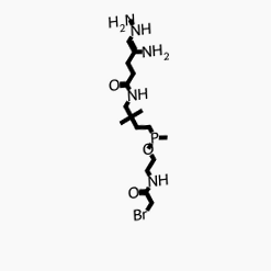 CP(CCC(C)(C)CNC(=O)CC/C(N)=C/NN)OCCNC(=O)CBr